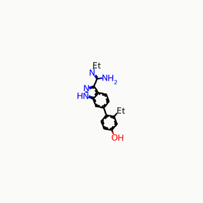 CC/N=C(\N)c1n[nH]c2cc(-c3ccc(O)cc3CC)ccc12